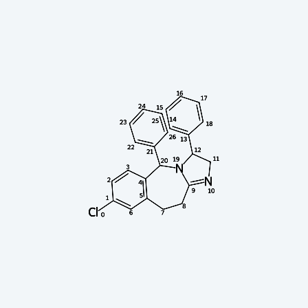 Clc1ccc2c(c1)CCC1=NCC(c3ccccc3)N1C2c1ccccc1